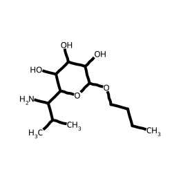 CCCCOC1OC(C(N)C(C)C)C(O)C(O)C1O